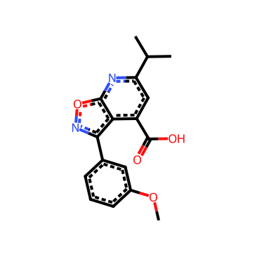 COc1cccc(-c2noc3nc(C(C)C)cc(C(=O)O)c23)c1